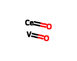 [O]=[Ce].[O]=[V]